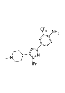 CC(C)n1nc(-c2cnc(N)c(C(F)(F)F)c2)cc1C1CCN(C)CC1